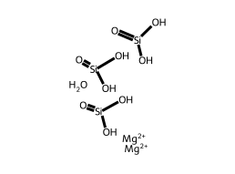 O.O=[Si](O)O.O=[Si](O)O.O=[Si](O)O.[Mg+2].[Mg+2]